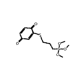 CO[Si](CCCSC1=CC(=O)C=CC1=O)(OC)OC